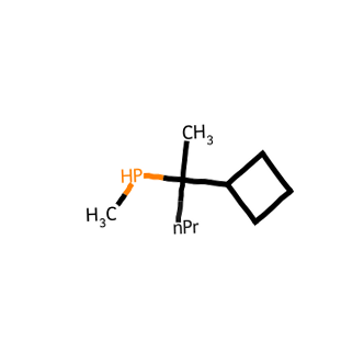 CCCC(C)(PC)C1CCC1